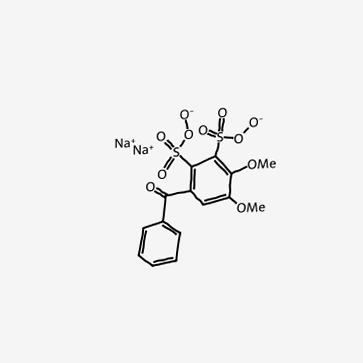 COc1cc(C(=O)c2ccccc2)c(S(=O)(=O)O[O-])c(S(=O)(=O)O[O-])c1OC.[Na+].[Na+]